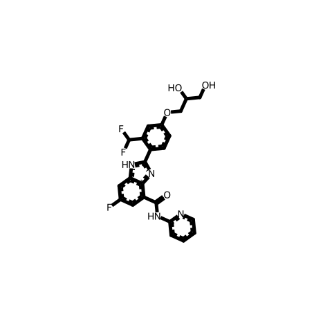 O=C(Nc1ccccn1)c1cc(F)cc2[nH]c(-c3ccc(OCC(O)CO)cc3C(F)F)nc12